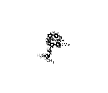 COc1ncc(-c2cc(-c3nc(CN4CC(C)OC(C)C4)co3)c3cnn(S(=O)(=O)c4ccccc4)c3c2)cc1NS(=O)(=O)c1ccc(F)cc1F